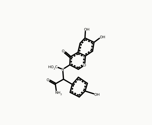 NC(=O)C(c1ccc(O)cc1)N(C(=O)O)c1coc2cc(O)c(O)cc2c1=O